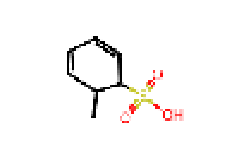 CC1C=CC=C[C]1S(=O)(=O)O